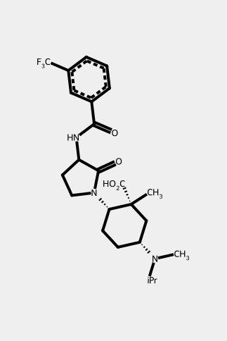 CC(C)N(C)[C@@H]1CC[C@H](N2CCC(NC(=O)c3cccc(C(F)(F)F)c3)C2=O)[C@](C)(C(=O)O)C1